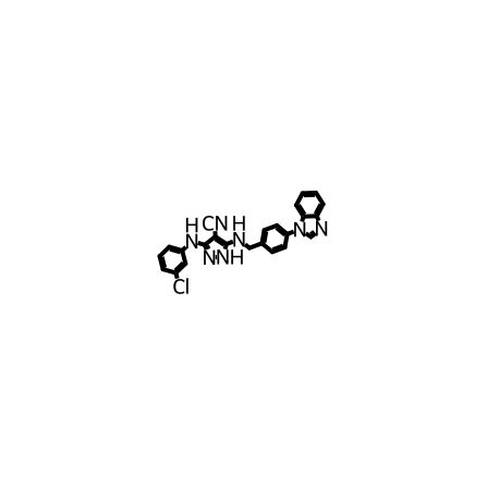 N#Cc1c(Nc2cccc(Cl)c2)n[nH]c1NCc1ccc(-n2cnc3ccccc32)cc1